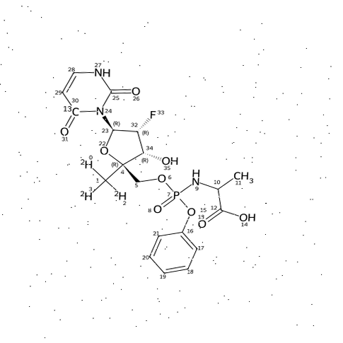 [2H]C([2H])([2H])[C@]1(COP(=O)(NC(C)C(=O)O)Oc2ccccc2)O[C@@H](n2c(=O)[nH]cc[13c]2=O)[C@H](F)[C@@H]1O